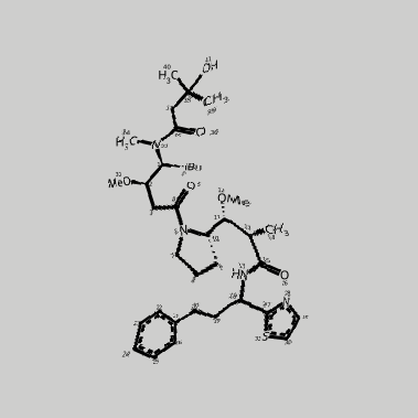 CC[C@H](C)[C@@H]([C@@H](CC(=O)N1CCC[C@H]1[C@H](OC)[C@@H](C)C(=O)NC(CCc1ccccc1)c1nccs1)OC)N(C)C(=O)CC(C)(C)O